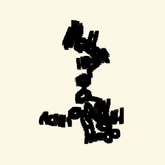 CCn1nnc(-c2ccc3c(c2)[nH]c2ncnc(NCCCN4CCCC(c5cccc(Cc6nc(Nc7cccc(NC(C)=O)c7)c7c(n6)[nH]c6cc(C(=O)OC)ccc67)c5)C4)c23)n1